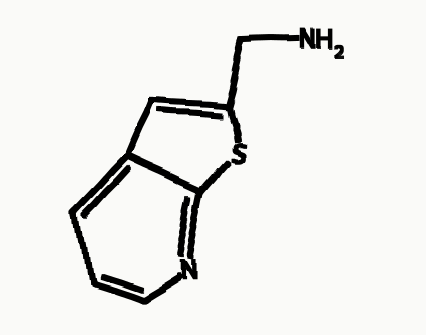 NCc1cc2cccnc2s1